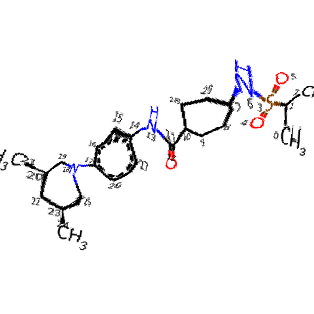 CC(C)S(=O)(=O)NC1CCC(C(=O)Nc2ccc(N3C[C@H](C)C[C@H](C)C3)cc2)CC1